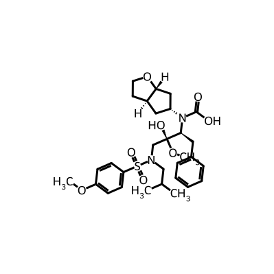 COc1ccc(S(=O)(=O)N(CC(C)C)C[C@@](O)(OC)[C@H](Cc2ccccc2)N(C(=O)O)[C@@H]2C[C@H]3CCO[C@@H]3C2)cc1